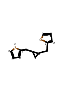 c1csc(C[C]2CC2Cc2cccs2)c1